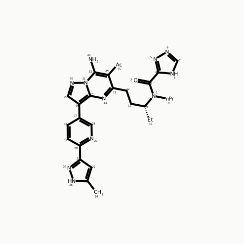 CCCN(C(=O)c1nnc[nH]1)[C@H](CC)CCc1nc2c(-c3ccc(-c4cc(C)[nH]n4)nc3)cnn2c(N)c1C(C)=O